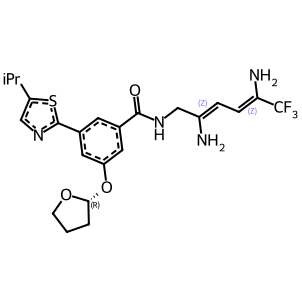 CC(C)c1cnc(-c2cc(O[C@@H]3CCCO3)cc(C(=O)NC/C(N)=C/C=C(\N)C(F)(F)F)c2)s1